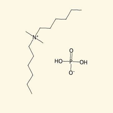 CCCCCC[N+](C)(C)CCCCCC.O=P([O-])(O)O